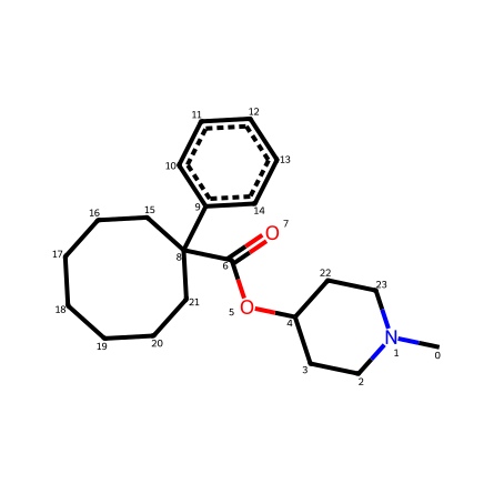 CN1CCC(OC(=O)C2(c3ccccc3)CCCCCCC2)CC1